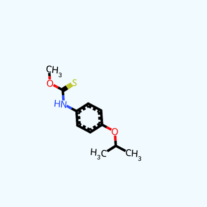 COC(=S)Nc1ccc(OC(C)C)cc1